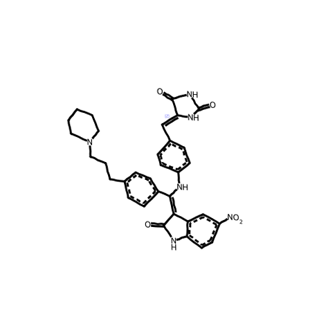 O=C1NC(=O)/C(=C/c2ccc(NC(=C3C(=O)Nc4ccc([N+](=O)[O-])cc43)c3ccc(CCCN4CCCCC4)cc3)cc2)N1